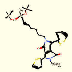 CCCCCCCN1C(=O)C2=C(c3cccs3)N(CCCCCC[Si](OC)(O[Si](C)(C)C)O[Si](C)(C)C)C(=O)C2=C1c1cccs1